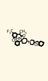 CC(C(=O)N[C@]1(c2ccccc2)CC[C@H](N2CCC(O)(Cc3ccccc3)CC2)CC1)c1cc(C(F)(F)F)cc(C(F)(F)F)c1